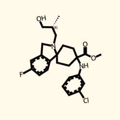 COC(=O)C1(Nc2cccc(Cl)c2)CCC2(CC1)c1ccc(F)cc1CN2C[C@@H](C)CO